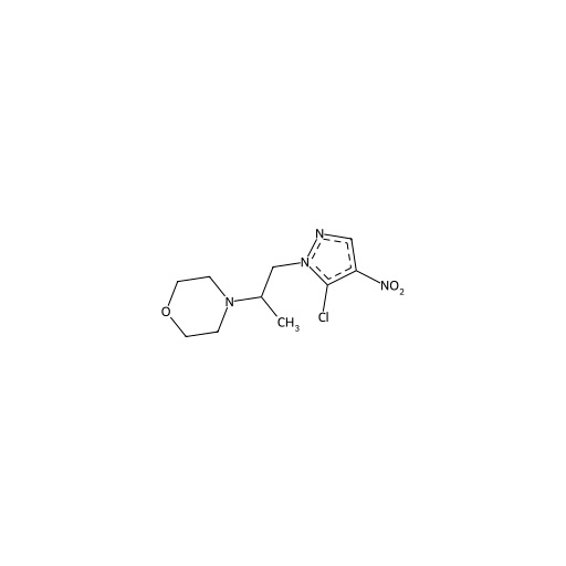 CC(Cn1ncc([N+](=O)[O-])c1Cl)N1CCOCC1